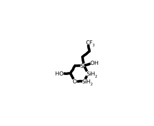 OC1C[Si](O)(CCC(F)(F)F)[SiH2][SiH2]O1